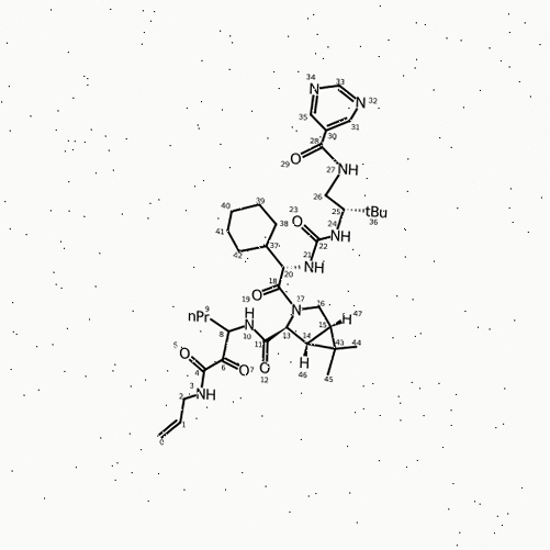 C=CCNC(=O)C(=O)C(CCC)NC(=O)[C@@H]1[C@@H]2[C@H](CN1C(=O)[C@@H](NC(=O)N[C@H](CNC(=O)c1cncnc1)C(C)(C)C)C1CCCCC1)C2(C)C